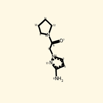 Nc1ccn(CC(=O)N2CCCC2)n1